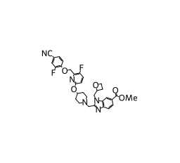 COC(=O)c1ccc2nc(CN3CCC(Oc4ccc(F)c(COc5ccc(C#N)cc5F)n4)CC3)n(CC3CCO3)c2c1